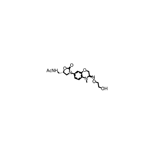 CC(=O)NC[C@H]1CN(c2ccc3c(c2)OCC(=NOCCO)N3C)C(=O)O1